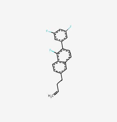 C=CCCc1ccc2c(F)c(-c3cc(F)cc(F)c3)ccc2c1